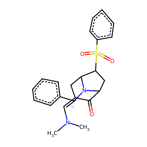 CN(C)/C=C1/CC2C(S(=O)(=O)c3ccccc3)CC(C1=O)N2Cc1ccccc1